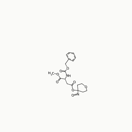 COC(=O)C(CC(=O)OC1(N=O)CCOCC1)NC(=O)OCc1ccccc1